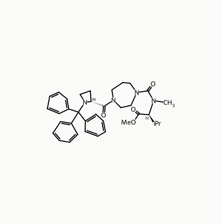 COC(=O)[C@H](C(C)C)N(C)C(=O)N1CCCN(C(=O)[C@H]2CCN2C(c2ccccc2)(c2ccccc2)c2ccccc2)CC1